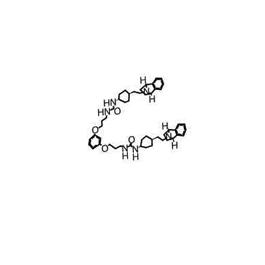 O=C(NCCCOc1cccc(OCCCNC(=O)N[C@H]2CC[C@H](CCN3[C@@H]4CC[C@H]3c3ccccc34)CC2)c1)N[C@H]1CC[C@H](CCN2[C@@H]3CC[C@H]2c2ccccc23)CC1